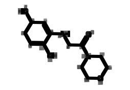 O=C(CNC1=CC(O)CC=C1O)N1CCOCC1